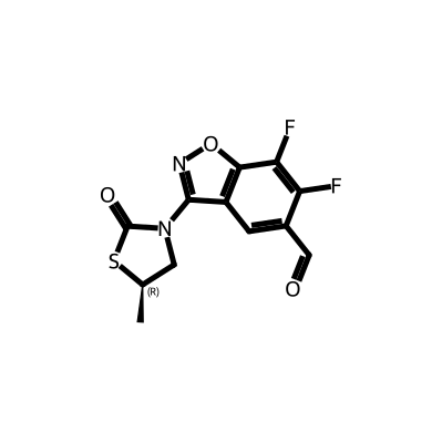 C[C@@H]1CN(c2noc3c(F)c(F)c(C=O)cc23)C(=O)S1